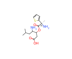 CC(C)CC(N)C(CC(=O)O)OC(=O)[C@](C)(N)c1cccs1